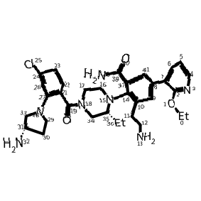 CCOc1ncccc1-c1cc(CCN)c(N2CCN(C(=O)c3ccc(Cl)cc3N3CC[C@H](N)C3)C[C@H]2CC)c(C(N)=O)c1